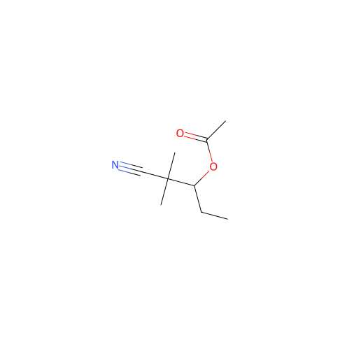 CCC(OC(C)=O)C(C)(C)C#N